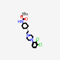 CC(C)(C)OC(=O)N[C@H]1CC[C@H](CCN2CCN(c3cccc(Cl)c3Cl)CC2)CC1